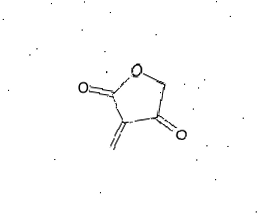 C=C1C(=O)COC1=O